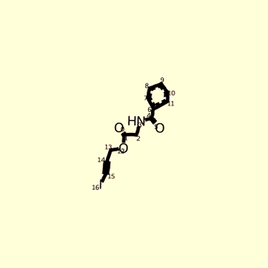 O=C(CNC(=O)c1ccccc1)OCC#CI